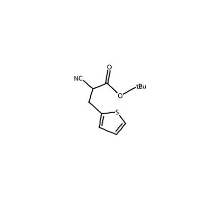 CC(C)(C)OC(=O)C(C#N)Cc1cccs1